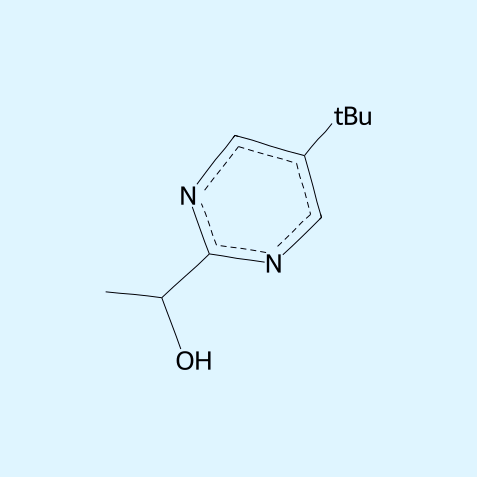 CC(O)c1ncc(C(C)(C)C)cn1